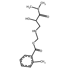 Cc1ccccc1C(=O)OCNCC(O)C(=O)N(C)C